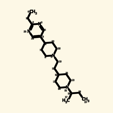 CCc1ncc(C2CCN(CCC3CCN(C(C)CC)CC3)CC2)cn1